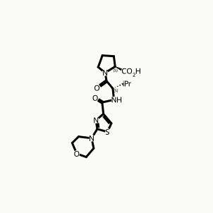 CC(C)[C@H](NC(=O)c1csc(N2CCOCC2)n1)C(=O)N1CCC[C@H]1C(=O)O